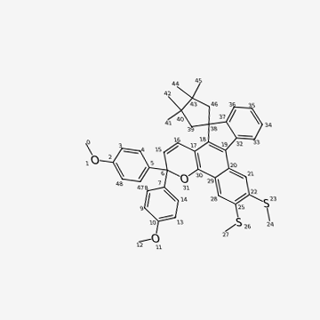 COc1ccc(C2(c3ccc(OC)cc3)C=Cc3c4c(c5cc(SC)c(SC)cc5c3O2)-c2ccccc2C42CC(C)(C)C(C)(C)C2)cc1